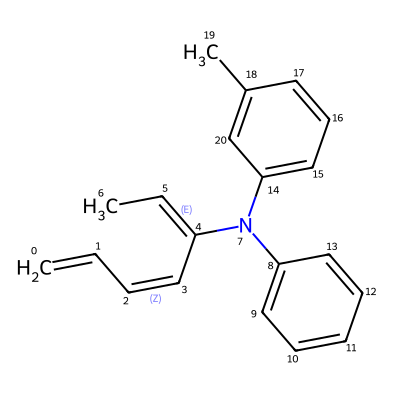 C=C/C=C\C(=C/C)N(c1ccccc1)c1cccc(C)c1